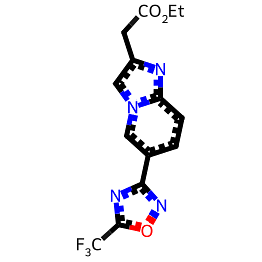 CCOC(=O)Cc1cn2cc(-c3noc(C(F)(F)F)n3)ccc2n1